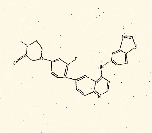 CN1CCN(c2ccc(-c3ccc4nccc(Nc5ccc6scnc6c5)c4c3)c(F)c2)CC1=O